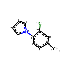 Cc1ccc(-n2cccc2)c(Cl)c1